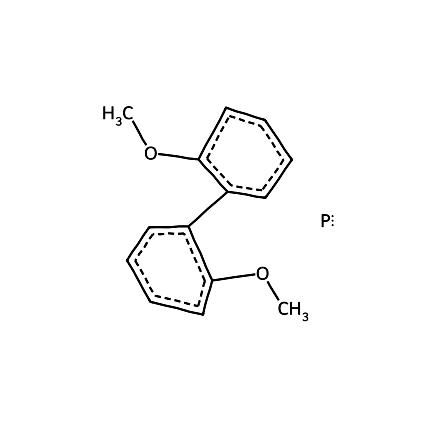 COc1ccccc1-c1ccccc1OC.[P]